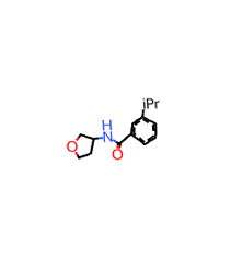 CC(C)c1cccc(C(=O)NC2CCOC2)c1